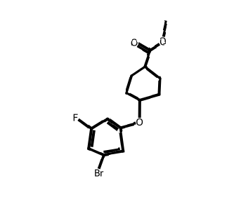 COC(=O)C1CCC(Oc2cc(F)cc(Br)c2)CC1